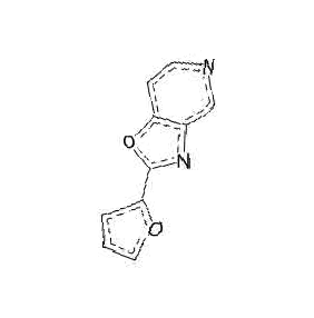 c1coc(-c2nc3cnccc3o2)c1